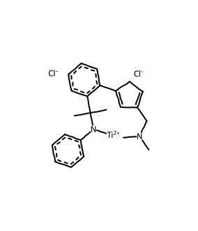 CN(C)CC1=CCC(c2ccccc2C(C)(C)[N]([Ti+2])c2ccccc2)=C1.[Cl-].[Cl-]